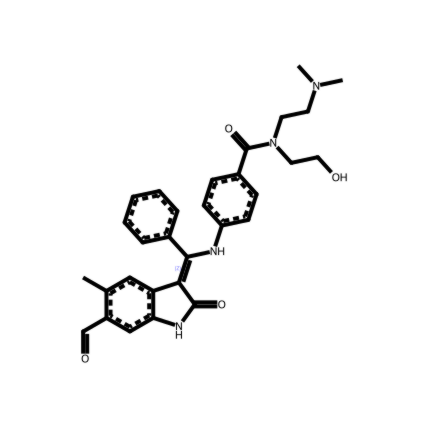 Cc1cc2c(cc1C=O)NC(=O)/C2=C(\Nc1ccc(C(=O)N(CCO)CCN(C)C)cc1)c1ccccc1